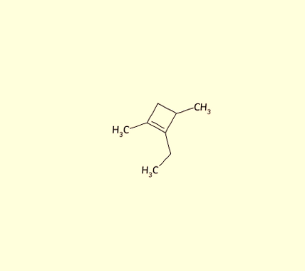 CCC1=C(C)CC1C